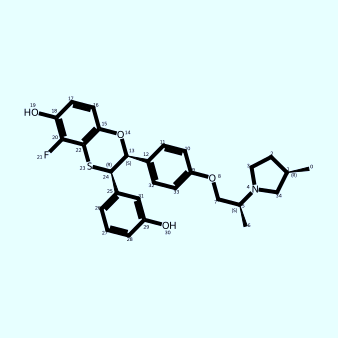 C[C@@H]1CCN([C@@H](C)COc2ccc([C@@H]3Oc4ccc(O)c(F)c4S[C@@H]3c3cccc(O)c3)cc2)C1